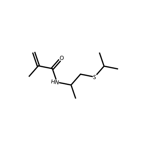 C=C(C)C(=O)NC(C)CSC(C)C